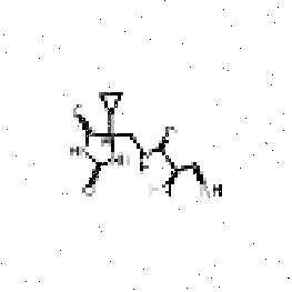 N=CC(=N)C(=O)NC[C@@]1(C2CC2)NC(=O)NC1=O